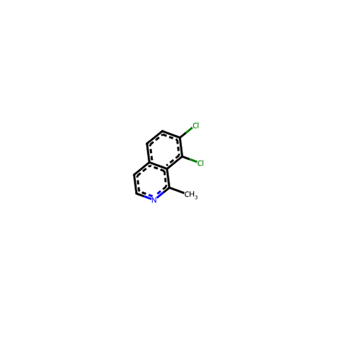 Cc1nccc2ccc(Cl)c(Cl)c12